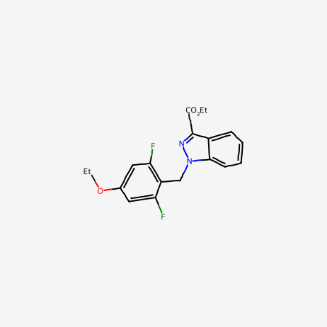 CCOC(=O)c1nn(Cc2c(F)cc(OCC)cc2F)c2ccccc12